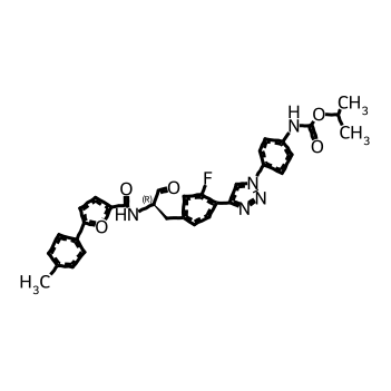 Cc1ccc(-c2ccc(C(=O)N[C@@H](C=O)Cc3ccc(-c4cn(-c5ccc(NC(=O)OC(C)C)cc5)nn4)c(F)c3)o2)cc1